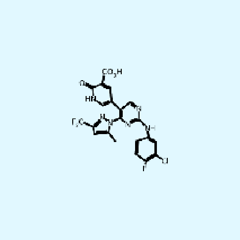 Cc1cc(C(F)(F)F)nn1-c1nc(Nc2ccc(F)c(Cl)c2)ncc1-c1c[nH]c(=O)c(C(=O)O)c1